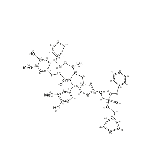 COc1cc(CN2C(=O)N(Cc3ccc(O)c(OC)c3)N(Cc3ccccc3)CC(O)C2Cc2cccc(OCP(=O)(OCc3ccccc3)OCc3ccccc3)c2)ccc1O